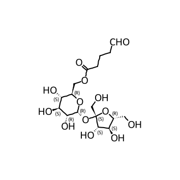 O=CCCCC(=O)OC[C@H]1O[C@H](O[C@]2(CO)O[C@H](CO)[C@@H](O)[C@@H]2O)[C@H](O)[C@@H](O)[C@@H]1O